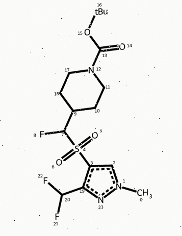 Cn1cc(S(=O)(=O)C(F)C2CCN(C(=O)OC(C)(C)C)CC2)c(C(F)F)n1